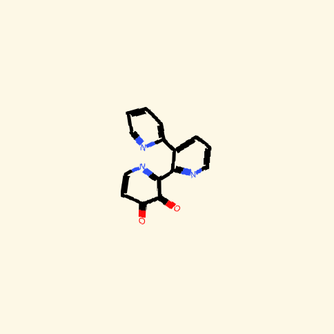 O=C1C=CN=C(c2ncccc2-c2ccccn2)C1=O